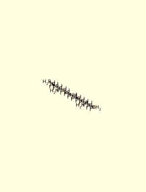 BB(I)B(I)B(I)B(I)B(N)B(I)B(I)B(I)B(I)B(I)B(I)NB(I)B(I)B(I)B(I)B(I)B(I)B(N)B(I)B(I)B(I)B(B)I